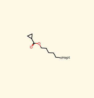 CCCCCCCCCCCCOC(=O)C1CC1